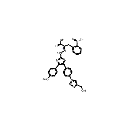 COc1ccc(-c2nc(N/N=C(/Cc3ccccc3[N+](=O)[O-])C(=O)O)sc2-c2ccc(-n3cc(CO)nn3)cc2)cc1